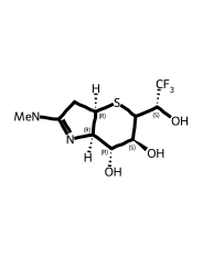 CNC1=N[C@@H]2[C@@H](O)[C@H](O)C([C@@H](O)C(F)(F)F)S[C@@H]2C1